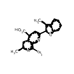 Cc1cc2c(C(=O)O)cc(-c3oc4ccccc4c3C)nc2c(C)n1